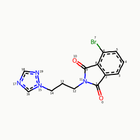 O=C1c2cccc(Br)c2C(=O)N1CCCn1cncn1